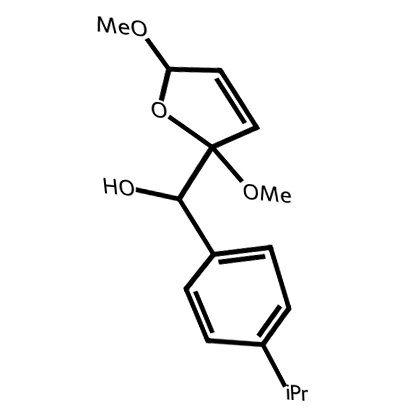 COC1C=CC(OC)(C(O)c2ccc(C(C)C)cc2)O1